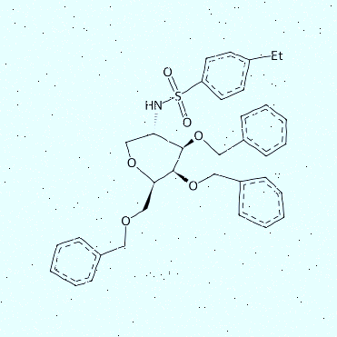 CCc1ccc(S(=O)(=O)N[C@H]2CO[C@H](COCc3ccccc3)[C@H](OCc3ccccc3)[C@@H]2OCc2ccccc2)cc1